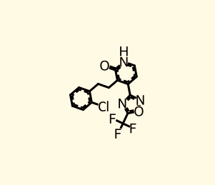 O=c1[nH]ccc(-c2noc(C(F)(F)F)n2)c1CCc1ccccc1Cl